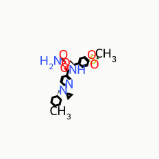 CCS(=O)(=O)c1ccc([C@H](COC(N)=O)NC(=O)c2ccc(N(C[C@H]3CC[C@H](C)CC3)C3CC3)nc2)cc1